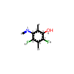 C=Nc1c(C)c(O)c(F)c(C)c1F